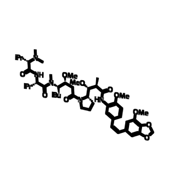 CC[C@H](C)[C@@H]([C@@H](CC(=O)N1CCC[C@H]1[C@H](OC)[C@@H](C)C(=O)Nc1cc(/C=C\c2cc(OC)c3c(c2)OCO3)ccc1OC)OC)N(C)C(=O)[C@@H](NC(=O)[C@H](C(C)C)N(C)C)C(C)C